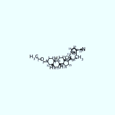 CCOC[C@H]1CC[C@@H]2C3CC[C@]4(C)C([C@@H](CC)Cn5ccc(C#N)n5)CCC4[C@@H]3CC[C@@H]2C1